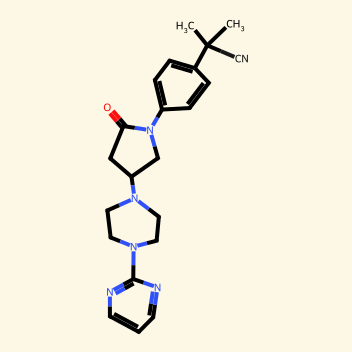 CC(C)(C#N)c1ccc(N2CC(N3CCN(c4ncccn4)CC3)CC2=O)cc1